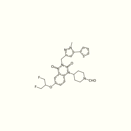 Cn1nc(Cn2c(=O)c3cc(OC(CF)CF)ccc3n(C3CCN(C=O)CC3)c2=O)cc1-c1cccs1